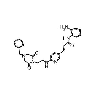 Nc1ccccc1NC(=O)C=Cc1ccc(NCCN2C(=O)CN(Cc3ccccc3)CC2=O)nc1